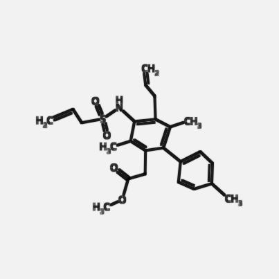 C=CCc1c(C)c(-c2ccc(C)cc2)c(CC(=O)OC)c(C)c1NS(=O)(=O)CC=C